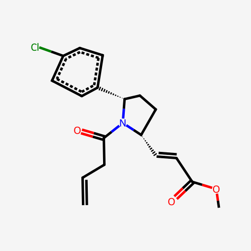 C=CCC(=O)N1[C@@H](/C=C/C(=O)OC)CC[C@H]1c1ccc(Cl)cc1